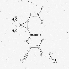 C#CC(OC(=O)C1C(C=C(F)Cl)C1(C)C)C(F)=CCC